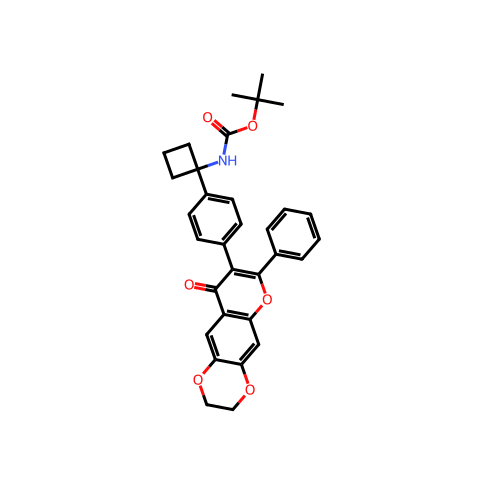 CC(C)(C)OC(=O)NC1(c2ccc(-c3c(-c4ccccc4)oc4cc5c(cc4c3=O)OCCO5)cc2)CCC1